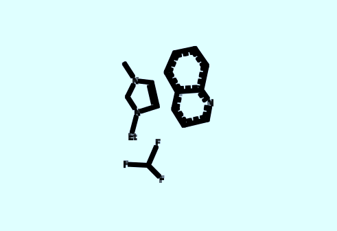 CCN1C=CN(C)C1.FC(F)F.c1ccc2ncccc2c1